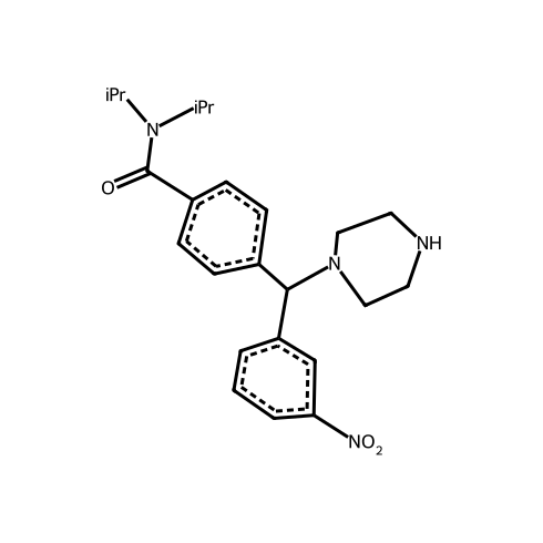 CC(C)N(C(=O)c1ccc(C(c2cccc([N+](=O)[O-])c2)N2CCNCC2)cc1)C(C)C